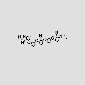 N#Cc1c(N)cccc1Oc1cccc(Oc2cccc(Oc3cccc(Oc4cccc(N)c4C#N)c3)c2C#N)c1